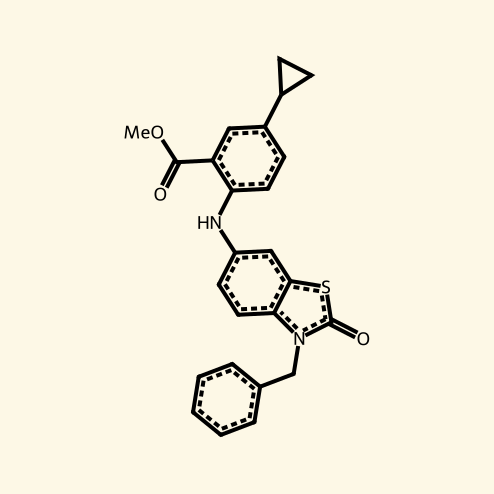 COC(=O)c1cc(C2CC2)ccc1Nc1ccc2c(c1)sc(=O)n2Cc1ccccc1